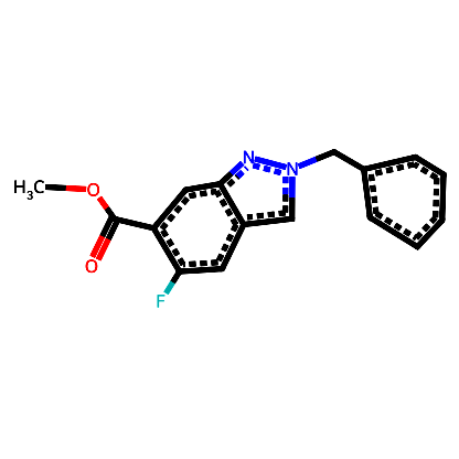 COC(=O)c1cc2nn(Cc3ccccc3)cc2cc1F